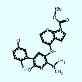 CN(C)c1nc(O)c(-c2cc(Cl)ccc2F)cc1Nc1ccnc2c1ccn2C(=O)OC(C)(C)C